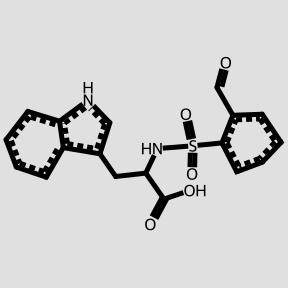 O=Cc1ccccc1S(=O)(=O)NC(Cc1c[nH]c2ccccc12)C(=O)O